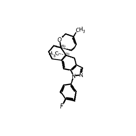 CC1=CC[C@@]2(CCCC3=Cc4c(cnn4-c4ccc(F)cc4)C[C@@]32C)OC1